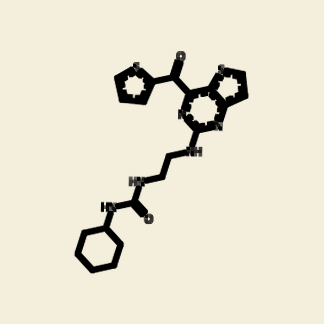 O=C(NCCNc1nc(C(=O)c2cccs2)c2sccc2n1)NC1CCCCC1